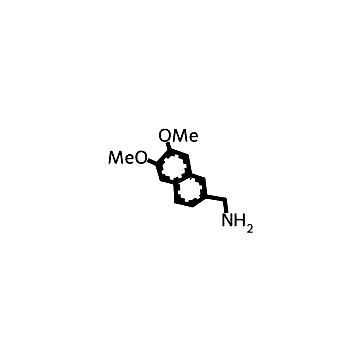 COc1cc2ccc(CN)cc2cc1OC